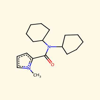 Cn1cccc1C(=O)N(C1CCCCC1)C1CCCCC1